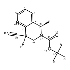 C[C@@H]1c2cccnc2C(F)(C#N)CN1C(=O)OC(C)(C)C